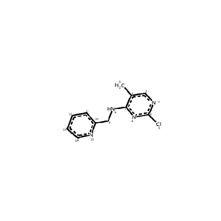 Cc1cnc(Cl)nc1NCc1ccccn1